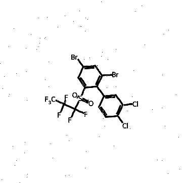 O=S(=O)(c1cc(Br)[c]c(Br)c1-c1ccc(Cl)c(Cl)c1)C(F)(F)C(F)(F)C(F)(F)F